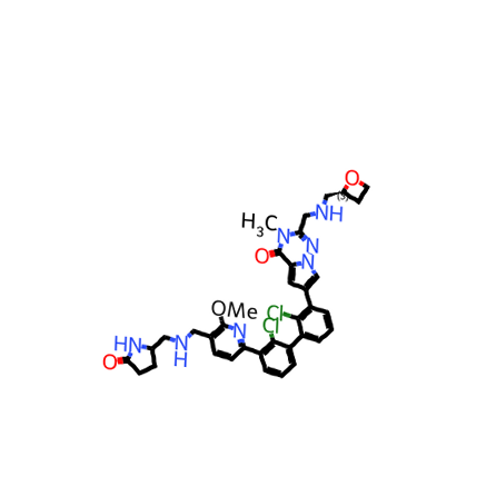 COc1nc(-c2cccc(-c3cccc(-c4cc5c(=O)n(C)c(CNC[C@@H]6CCO6)nn5c4)c3Cl)c2Cl)ccc1CNCC1CCC(=O)N1